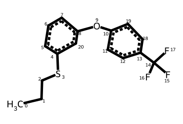 CCCSc1cccc(Oc2ccc(C(F)(F)F)cc2)c1